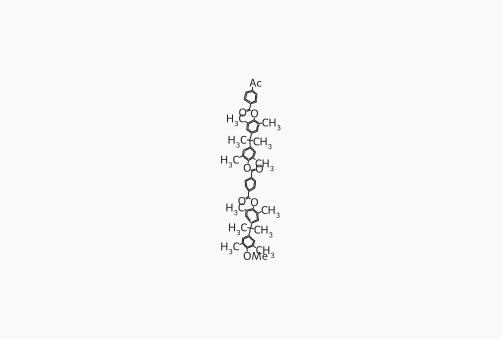 COc1c(C)cc(C(C)(C)c2cc(C)c(OC(=O)c3ccc(C(=O)Oc4c(C)cc(C(C)(C)c5cc(C)c(OC(=O)c6ccc(C(C)=O)cc6)c(C)c5)cc4C)cc3)c(C)c2)cc1C